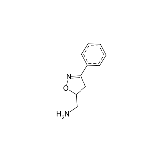 NCC1CC(c2ccccc2)=NO1